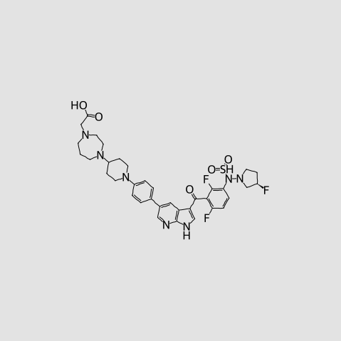 O=C(O)CN1CCCN(C2CCN(c3ccc(-c4cnc5[nH]cc(C(=O)c6c(F)ccc(N(N7CC[C@@H](F)C7)[SH](=O)=O)c6F)c5c4)cc3)CC2)CC1